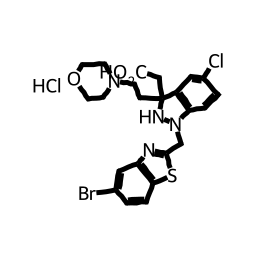 Cl.O=C(O)CC1(CCN2CCOCC2)NN(Cc2nc3cc(Br)ccc3s2)c2ccc(Cl)cc21